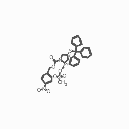 CS(=O)(=O)OC[C@@H]1C[C@H](SC(c2ccccc2)(c2ccccc2)c2ccccc2)CN1C(=O)OCc1ccc([N+](=O)[O-])cc1